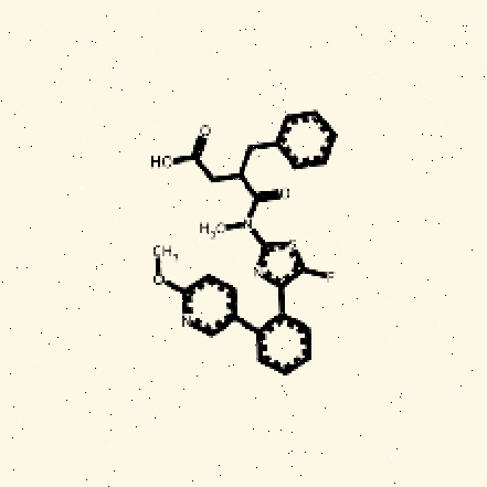 COc1ccc(-c2ccccc2-c2nc(N(C)C(=O)C(CC(=O)O)Cc3ccccc3)sc2F)cn1